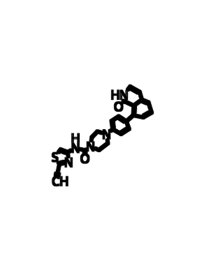 C#Cc1nc(NC(=O)N2CCN(c3ccc(-c4cccc5cc[nH]c(=O)c45)cc3)CC2)cs1